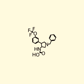 O=C(O)NC1CN(Cc2ccccc2)CC1c1cccc(OC(F)(F)F)c1